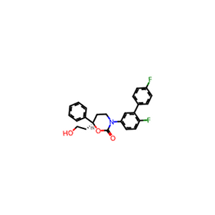 O=C1O[C@@](CCO)(c2ccccc2)CCN1c1ccc(F)c(-c2ccc(F)cc2)c1